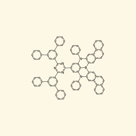 c1ccc(-c2cc(-c3ccccc3)cc(-c3nc(-c4cc(-c5ccccc5)cc(-c5ccccc5)c4)nc(-c4cc5c6c(c4)N(c4ccccc4)c4cc7c(ccc8ccccc87)cc4B6c4cc6ccc7ccccc7c6cc4N5c4ccccc4)n3)c2)cc1